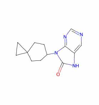 O=c1[nH]c2cncnc2n1C1CCC2(CC1)CC2